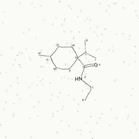 CCNC(=O)C1(C(C)C)CCC(C)CC1